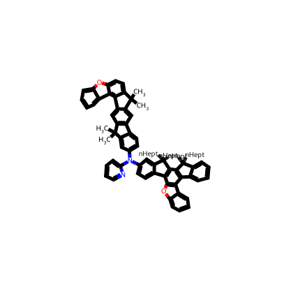 CCCCCCCC1(CCCCCCC)c2cc(N(c3ccc4c(c3)C(C)(C)c3cc5c(cc3-4)C(C)(C)c3ccc4oc6ccccc6c4c3-5)c3ccccn3)ccc2-c2c1c1c(c3c2oc2ccccc23)-c2ccccc2C1(CCCCCCC)CCCCCCC